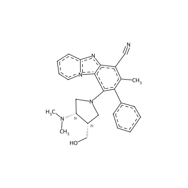 Cc1c(-c2ccccc2)c(N2C[C@H](CO)[C@H](N(C)C)C2)c2c(nc3ccccn32)c1C#N